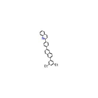 CCc1cc(CC)cc(-c2ccc3cc(-c4ccc(-c5ccc6ccccc6n5)cc4)ccc3c2)c1